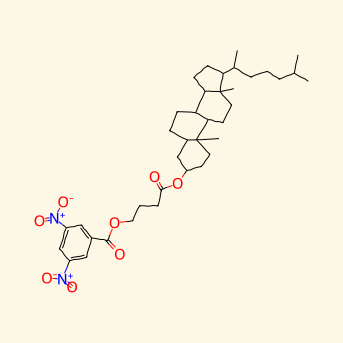 CC(C)CCCC(C)C1CCC2C3CCC4CC(OC(=O)CCCOC(=O)c5cc([N+](=O)[O-])cc([N+](=O)[O-])c5)CCC4(C)C3CCC12C